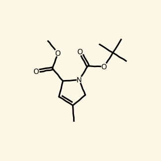 COC(=O)C1C=C(C)CN1C(=O)OC(C)(C)C